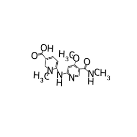 CNC(=O)c1cnc(NC2=CC=C(C(=O)O)CN2C)cc1OC